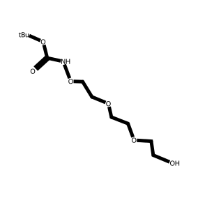 CC(C)(C)OC(=O)NOCCOCCOCCO